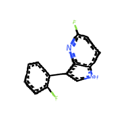 Fc1ccc2[nH]cc(-c3ccccc3F)c2n1